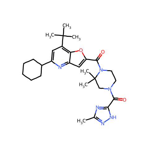 Cc1n[nH]c(C(=O)N2CCN(C(=O)c3cc4nc(C5CCCCC5)cc(C(C)(C)C)c4o3)C(C)(C)C2)n1